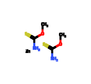 COC(N)=S.COC(N)=S.[Zn]